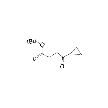 CC(C)(C)OC(=O)CCC(=O)C1CC1